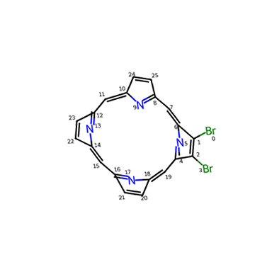 BrC1=C(Br)C2=NC1=CC1=NC(=CC3=NC(=CC4=NC(=C2)C=C4)C=C3)C=C1